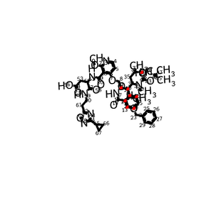 COc1nccc(OCC(Cc2ccccc2)NC(=O)C(COCc2ccccc2)N(C)C(=O)C(CC(C)C)N(C)C(=O)OC(C)(C)C)c1C(=O)NC(CC(=O)O)C(=O)NCCc1nc(C2CC2)no1